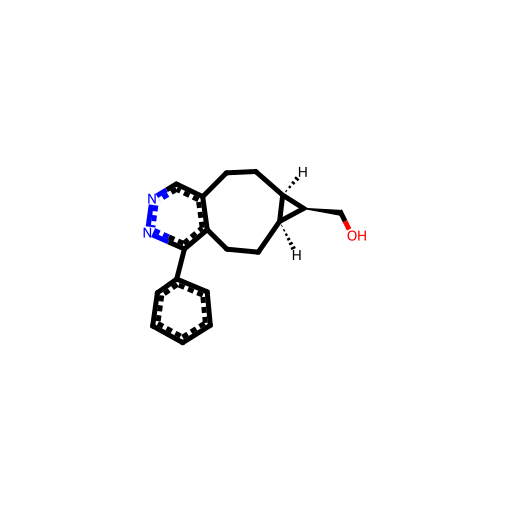 OC[C@H]1[C@H]2CCc3c(cnnc3-c3ccccc3)CC[C@@H]12